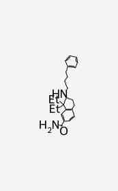 CCC1(CC)c2cc(C(N)=O)ccc2CCC1NCCCCc1ccccc1